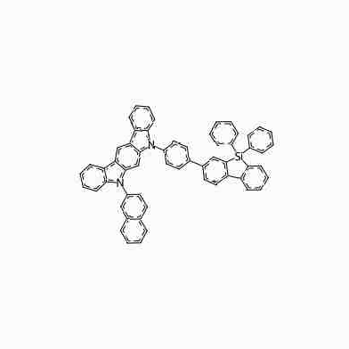 c1ccc([Si]2(c3ccccc3)c3ccccc3-c3ccc(-c4ccc(-n5c6ccccc6c6cc7c8ccccc8n(-c8ccc9ccccc9c8)c7cc65)cc4)cc32)cc1